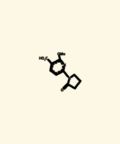 COc1nc(N2CCCC2=O)ccc1C(=O)O